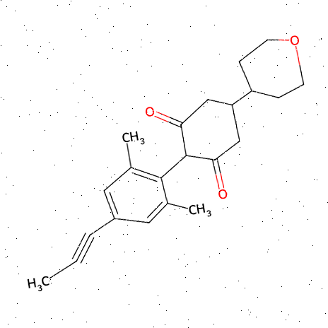 CC#Cc1cc(C)c(C2C(=O)CC(C3CCOCC3)CC2=O)c(C)c1